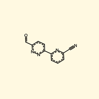 N#Cc1cccc(-c2ccc(C=O)nn2)n1